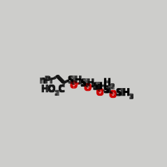 CCC/C=C(/[SiH2]O[SiH2]O[SiH2]O[SiH2]O[SiH3])C(=O)O